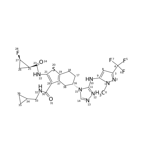 Cn1nc(C(F)(F)F)cc1Nc1nncn1[C@H]1CCc2sc(NC(=O)[C@H]3C[C@H]3F)c(C(=O)NCC3CC3)c2C1